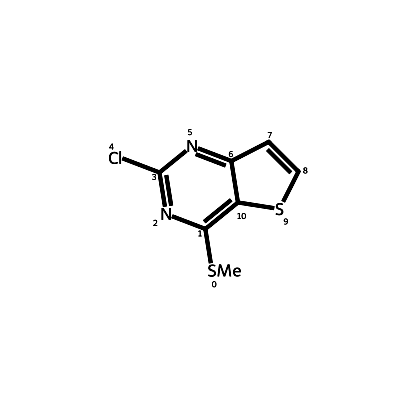 CSc1nc(Cl)nc2ccsc12